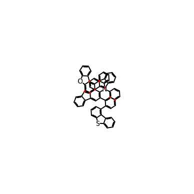 C1=CC2(C3=Cc4ccccc4C3=C1)C1=Cc3ccccc3C1=CC(c1ccccc1-c1cccc3sc4ccccc4c13)=C2N(c1ccccc1)c1ccccc1-c1cccc2oc3ccccc3c12